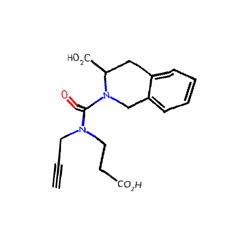 C#CCN(CCC(=O)O)C(=O)N1Cc2ccccc2CC1C(=O)O